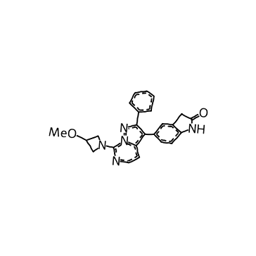 COC1CN(c2nccc3c(-c4ccc5c(c4)CC(=O)N5)c(-c4ccccc4)nn23)C1